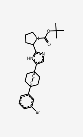 CC(C)(C)OC(=O)N1CCCC1c1ncc(C23CCC(c4cccc(Br)c4)(CC2)CC3)[nH]1